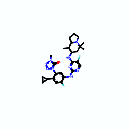 CC1C(Nc2nc(Nc3cc(-n4nnn(C)c4=O)c(C4CC4)cc3F)ncc2F)CC(C)(C)N2CCCC12